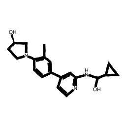 Cc1cc(-c2ccnc(NC(O)C3CC3)c2)ccc1N1CC[C@@H](O)C1